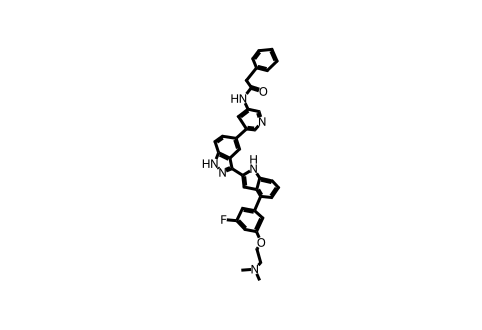 CN(C)CCOc1cc(F)cc(-c2cccc3[nH]c(-c4n[nH]c5ccc(-c6cncc(NC(=O)Cc7ccccc7)c6)cc45)cc23)c1